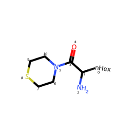 CCCCCCC(N)C(=O)N1CCSCC1